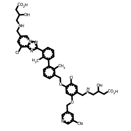 Cc1c(COc2cc(OCc3cncc(C#N)c3)c(CNCC(O)CC(=O)O)cc2Cl)cccc1-c1cccc(-c2nc3c(Cl)cc(CNCC(O)CC(=O)O)cn3n2)c1C